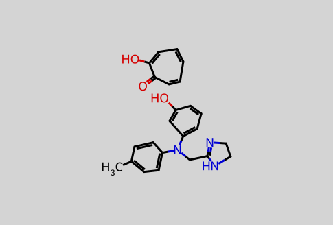 Cc1ccc(N(CC2=NCCN2)c2cccc(O)c2)cc1.O=c1cccccc1O